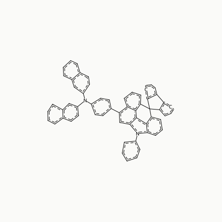 c1ccc(-n2c3cccc4c3c3c5c(cccc5c(-c5ccc(N(c6ccc7ccccc7c6)c6ccc7ccccc7c6)cc5)cc32)C42c3ccccc3-c3ccccc32)cc1